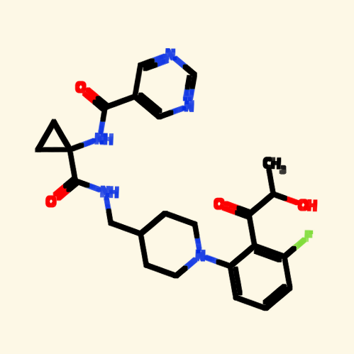 CC(O)C(=O)c1c(F)cccc1N1CCC(CNC(=O)C2(NC(=O)c3cncnc3)CC2)CC1